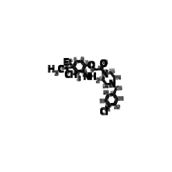 CCC(C)(C)c1ccc(OCC(=O)N2CCN(Cc3ccc(Cl)cc3)CC2)c(N)c1